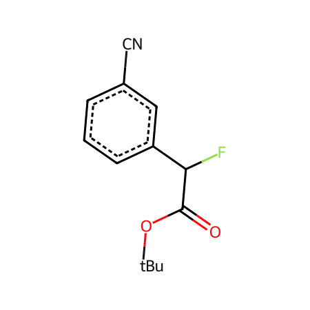 CC(C)(C)OC(=O)C(F)c1cccc(C#N)c1